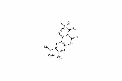 CCC(OC)c1cc2c(=O)n(N(C(C)=O)S(C)(=O)=O)c(=O)[nH]c2cc1C(F)(F)F